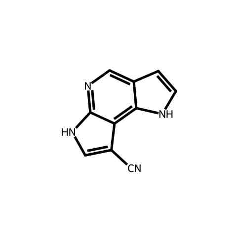 N#Cc1c[nH]c2ncc3cc[nH]c3c12